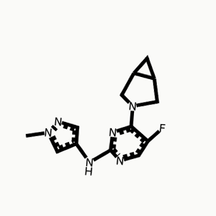 Cn1cc(Nc2ncc(F)c(N3CC4CC4C3)n2)cn1